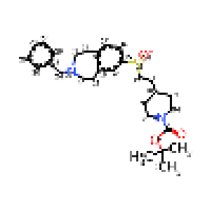 CC(C)(C)OC(=O)N1CCC(CC[S+]([O-])c2ccc3c(c2)CCN(Cc2ccccc2)CC3)CC1